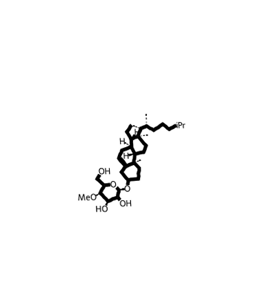 CO[C@@H]1C(CO)O[C@@H](OC2CC[C@@]3(C)C(=CC[C@H]4[C@@H]5CC[C@H]([C@H](C)CCCC(C)C)[C@@]5(C)CC[C@@H]43)C2)C(O)[C@H]1O